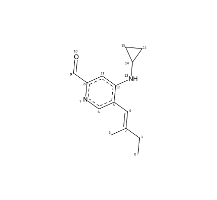 CC/C(C)=C/c1cnc(C=O)cc1NC1CC1